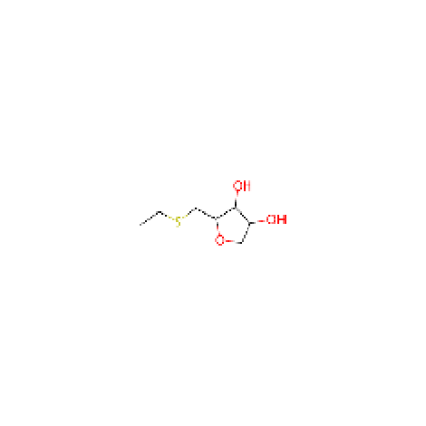 CCSCC1OCC(O)C1O